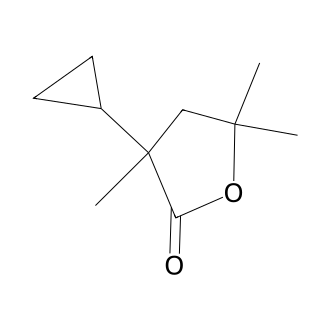 CC1(C)CC(C)(C2CC2)C(=O)O1